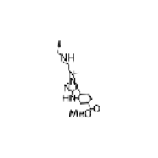 C#CCNCCCN(C)N1C=c2c([nH]c3cc(C(=O)OC)ccc23)=NC1